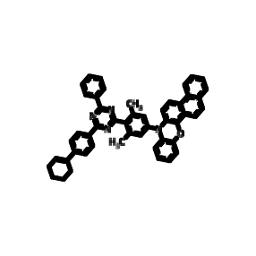 Cc1cc(N2c3ccccc3Oc3c2ccc2c3ccc3ccccc32)cc(C)c1-c1nc(-c2ccccc2)nc(-c2ccc(C3=CCCCC3)cc2)n1